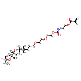 C=C(C)C(=O)OCCNC(=O)OCCOCCOCCC[Si](C)(C)C(CC)(CC)O[Si](C)(C)C(C)(CC)O[Si](C)(C)CCCC